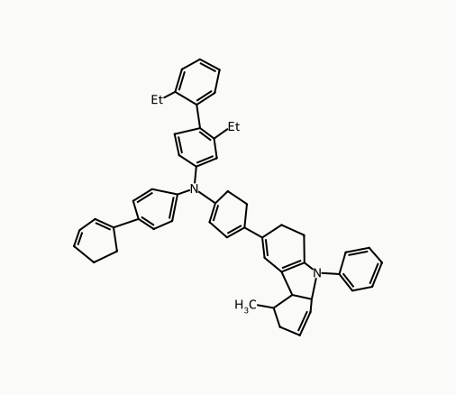 CCc1ccccc1-c1ccc(N(C2=CC=C(C3=CC4=C(CC3)N(c3ccccc3)C3C=CCC(C)C43)CC2)c2ccc(C3=CC=CCC3)cc2)cc1CC